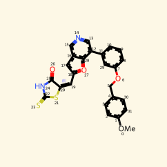 COc1ccc(COc2cccc(-c3cncc4cc(/C=C5/SC(=S)NC5=O)oc34)c2)cc1